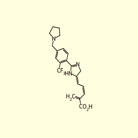 C=C(/C=C\C=C1/CN=C(c2ccc(CN3CCCC3)cc2C(F)(F)F)N1)C(=O)O